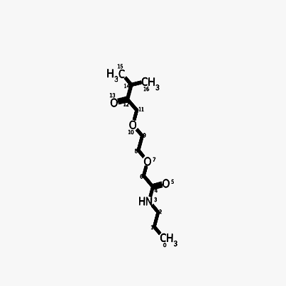 CCCNC(=O)COCCOCC(=O)C(C)C